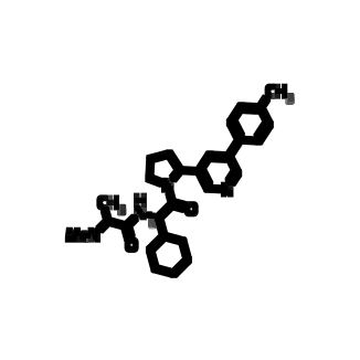 CNC(C)C(=O)N[C@H](C(=O)N1CCCC1c1cncc(-c2ccc(C)cc2)c1)C1CCCCC1